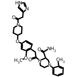 COc1cc(OC2CCN(C(=O)Cc3c[nH]cn3)CC2)ccc1CC(=O)N1CCN(c2ccccc2C)CC1C(N)=O